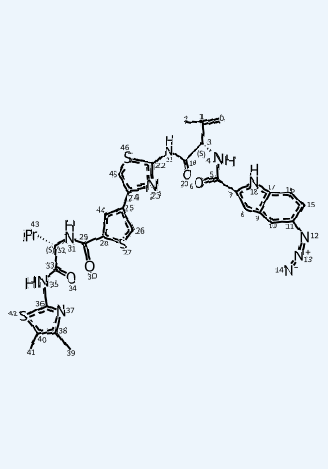 C=C(C)[C@H](NC(=O)c1cc2cc(N=[N+]=[N-])ccc2[nH]1)C(=O)Nc1nc(-c2csc(C(=O)N[C@H](C(=O)Nc3nc(C)c(C)s3)C(C)C)c2)cs1